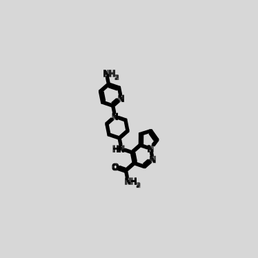 NC(=O)c1cnn2cccc2c1NC1CCN(c2ccc(N)cn2)CC1